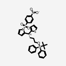 CC(C)(C)[Si](OCCC[C@@H](c1cccs1)c1cccn1S(=O)(=O)c1ccc([N+](=O)[O-])cc1)(c1ccccc1)c1ccccc1